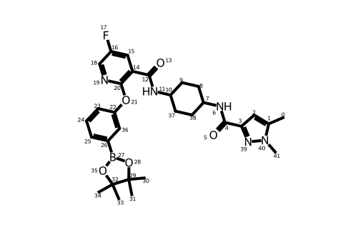 Cc1cc(C(=O)NC2CCC(NC(=O)c3cc(F)cnc3Oc3cccc(B4OC(C)(C)C(C)(C)O4)c3)CC2)nn1C